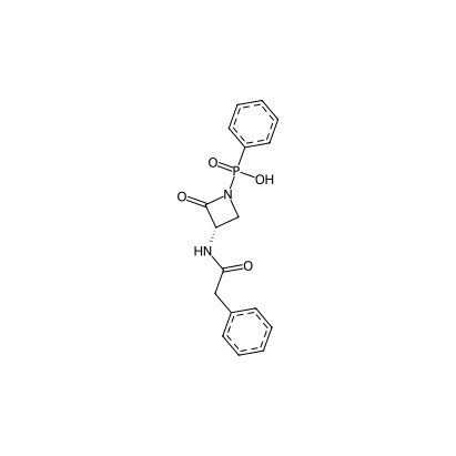 O=C(Cc1ccccc1)N[C@H]1CN(P(=O)(O)c2ccccc2)C1=O